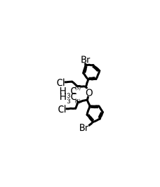 C[C@H](CCl)C(OC(c1cccc(Br)c1)[C@H](C)CCl)c1cccc(Br)c1